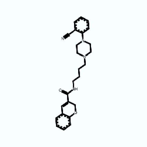 N#Cc1ccccc1N1CCN(CCCCNC(=O)C2=Cc3ccccc3OC2)CC1